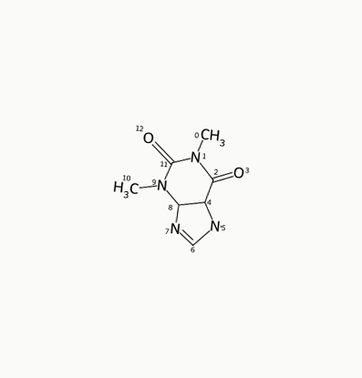 CN1C(=O)C2[N]C=NC2N(C)C1=O